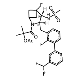 CC(=O)OC(C)(C)C(=O)N1C2CC(F)(C2)[C@H](NS(C)(=O)=O)[C@@H]1Cc1cccc(-c2cccc(C(F)F)c2)c1F